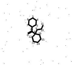 C=C(C1CCCCC1)C1(CCC)CCCCC1